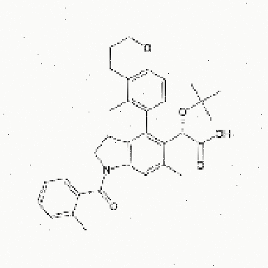 Cc1ccccc1C(=O)N1CCc2c1cc(C)c([C@H](OC(C)(C)C)C(=O)O)c2-c1ccc2c(c1C)CCCO2